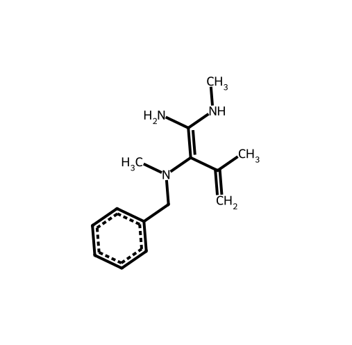 C=C(C)/C(=C(/N)NC)N(C)Cc1ccccc1